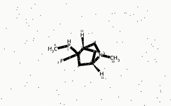 CPC1(F)C[C@@H]2C[C@H]1CN2C